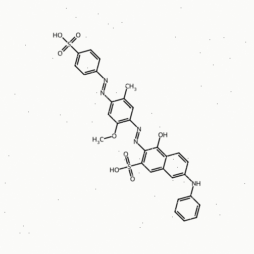 COc1cc(N=Nc2ccc(S(=O)(=O)O)cc2)c(C)cc1N=Nc1c(S(=O)(=O)O)cc2cc(Nc3ccccc3)ccc2c1O